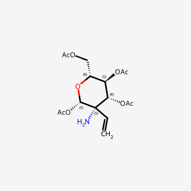 C=C[C@@]1(N)[C@H](OC(C)=O)O[C@H](COC(C)=O)[C@@H](OC(C)=O)[C@@H]1OC(C)=O